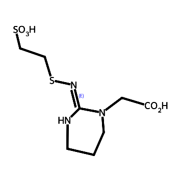 O=C(O)CN1CCCN/C1=N\SCCS(=O)(=O)O